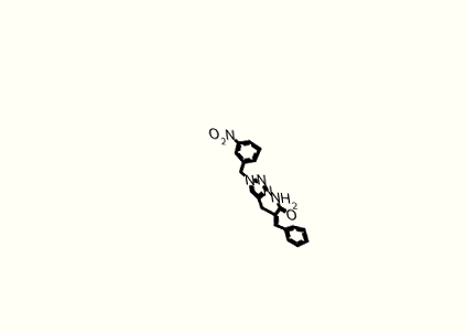 NC(=O)C(=Cc1ccccc1)Cc1cn(Cc2cccc([N+](=O)[O-])c2)nn1